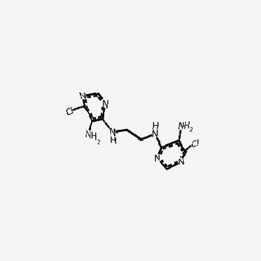 Nc1c(Cl)ncnc1NCCNc1ncnc(Cl)c1N